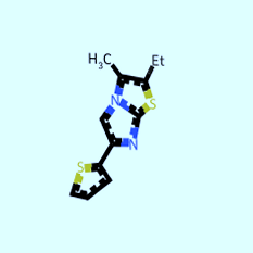 CCc1sc2nc(-c3cccs3)cn2c1C